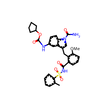 COc1cccc(C(=O)NS(=O)(=O)c2ccccc2C)c1Cc1cn(C(N)=O)c2ccc(NC(=O)OC3CCCC3)cc12